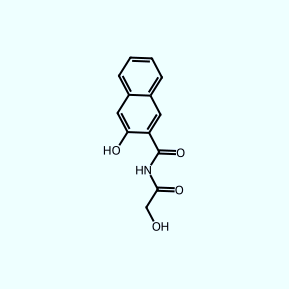 O=C(CO)NC(=O)c1cc2ccccc2cc1O